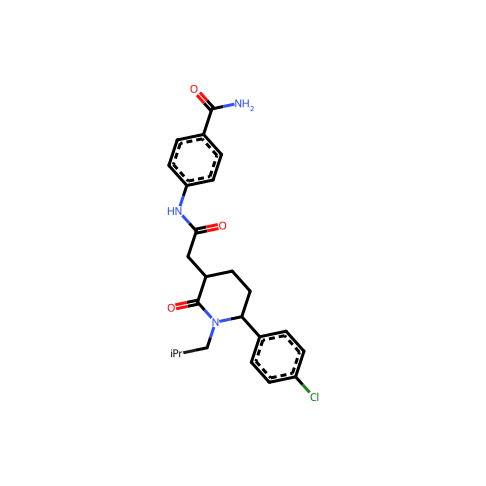 CC(C)CN1C(=O)C(CC(=O)Nc2ccc(C(N)=O)cc2)CCC1c1ccc(Cl)cc1